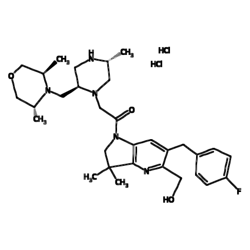 C[C@@H]1CN(CC(=O)N2CC(C)(C)c3nc(CO)c(Cc4ccc(F)cc4)cc32)[C@@H](CN2[C@H](C)COC[C@H]2C)CN1.Cl.Cl